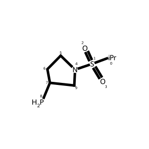 CC(C)S(=O)(=O)N1CCC(P)C1